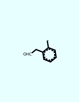 [CH]c1ccccc1C[C]=O